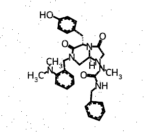 CN(C)c1ccccc1CN1C[C@H]2N(C(=O)CN2N(C)C(=O)NCc2ccccc2)[C@@H](Cc2ccc(O)cc2)C1=O